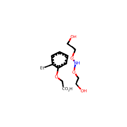 CCc1ccccc1OCC(=O)O.OCCONOCCO